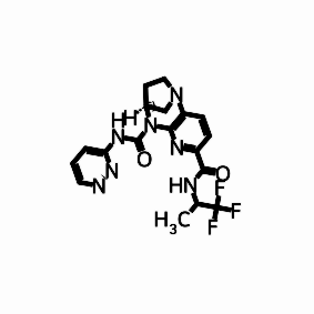 CC(NC(=O)c1ccc2c(n1)N(C(=O)Nc1cccnn1)[C@H]1CCN2C1)C(F)(F)F